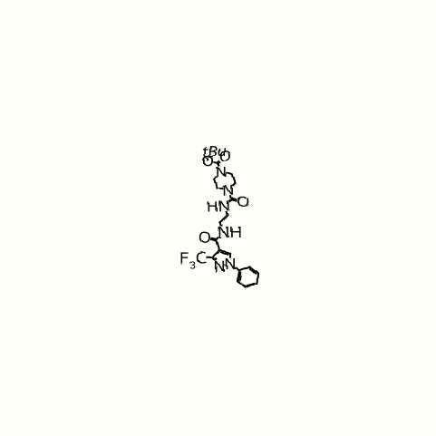 CC(C)(C)OC(=O)N1CCN(C(=O)NCCNC(=O)c2cn(-c3ccccc3)nc2C(F)(F)F)CC1